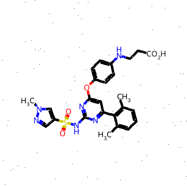 Cc1cccc(C)c1-c1cc(Oc2ccc(NCCC(=O)O)cc2)nc(NS(=O)(=O)c2cnn(C)c2)n1